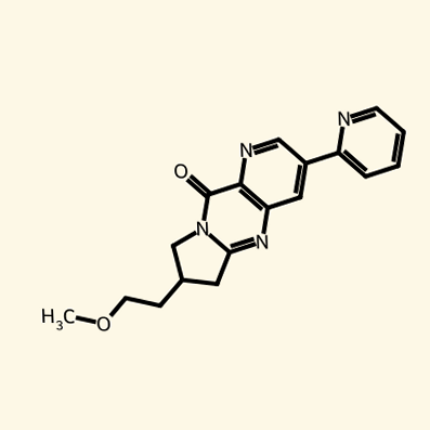 COCCC1Cc2nc3cc(-c4ccccn4)cnc3c(=O)n2C1